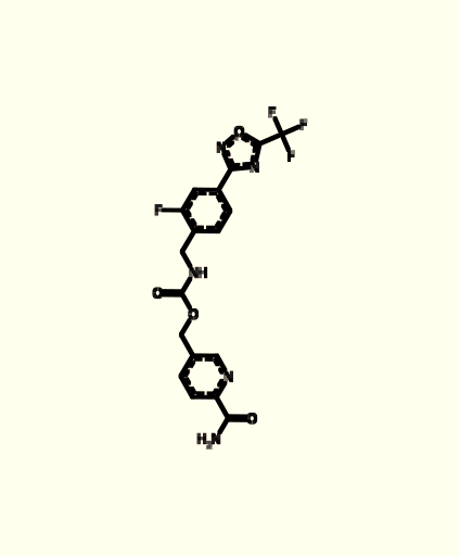 NC(=O)c1ccc(COC(=O)NCc2ccc(-c3noc(C(F)(F)F)n3)cc2F)cn1